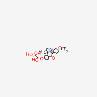 CC1(C)c2cc(OC[C@@H](O)[C@H](O)CO)ccc2C(=O)c2c1[nH]c1cc(OC(F)(F)F)ccc21